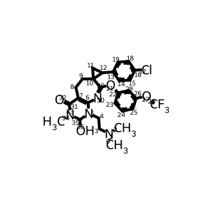 CN(C)CCN1C2=C(CCC3(CC3c3ccc(Cl)cc3)C(Oc3cccc(OC(F)(F)F)c3)=N2)C(=O)N(C)C1O